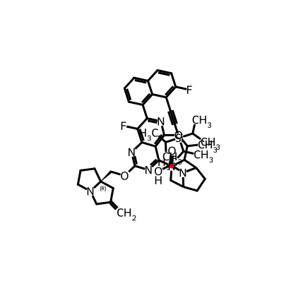 C=C1CN2CCC[C@]2(COc2nc3c4c(nc(-c5cccc6ccc(F)c(C#C[Si](C(C)C)(C(C)C)C(C)C)c56)c(F)c4n2)OC(C)C2C4CCC(CN32)N4C(=O)O)C1